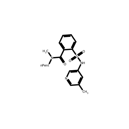 CCCCCN(C)C(=O)c1ccccc1S(=O)(=O)Nc1cncc(C)c1